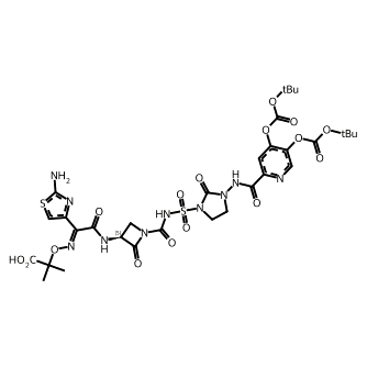 CC(C)(C)OC(=O)Oc1cnc(C(=O)NN2CCN(S(=O)(=O)NC(=O)N3C[C@H](NC(=O)C(=NOC(C)(C)C(=O)O)c4csc(N)n4)C3=O)C2=O)cc1OC(=O)OC(C)(C)C